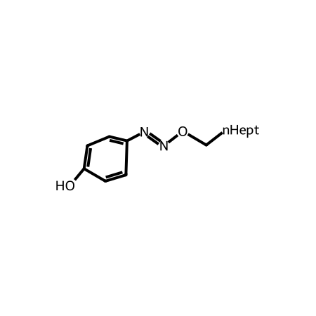 CCCCCCCCON=Nc1ccc(O)cc1